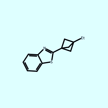 CCC12CC(c3nc4ccccc4s3)(C1)C2